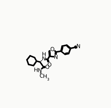 CNC(=O)[C@@H](NC(=O)c1coc(-c2ccc(C#N)cc2)n1)C1CCCCC1